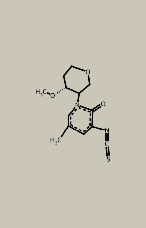 CO[C@@H]1CCOCC1n1cc(C)cc(N=C=S)c1=O